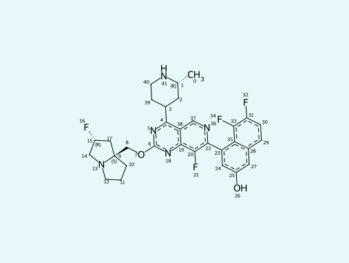 C[C@@H]1CC(c2nc(OC[C@@]34CCCN3C[C@H](F)C4)nc3c(F)c(-c4cc(O)cc5ccc(F)c(F)c45)ncc23)CCN1